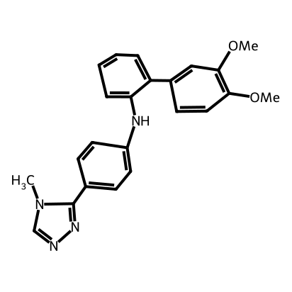 COc1ccc(-c2ccccc2Nc2ccc(-c3nncn3C)cc2)cc1OC